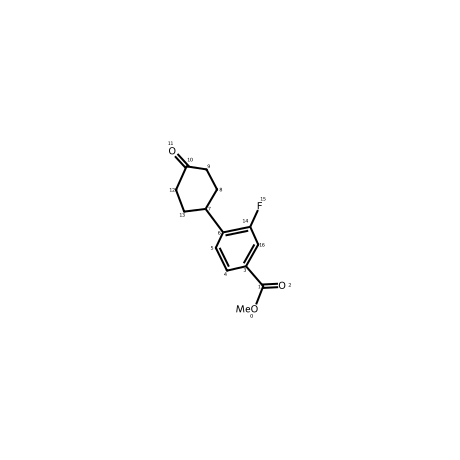 COC(=O)c1ccc(C2CCC(=O)CC2)c(F)c1